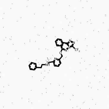 C[C@@H](NCCc1ccccc1)c1cccc(COc2nn3c(C(F)(F)F)nnc3c3ccccc23)n1